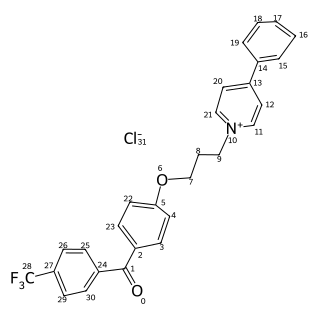 O=C(c1ccc(OCCC[n+]2ccc(-c3ccccc3)cc2)cc1)c1ccc(C(F)(F)F)cc1.[Cl-]